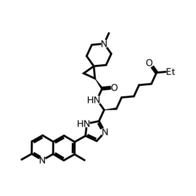 CCC(=O)CCCCC[C@H](NC(=O)[C@H]1CC12CCN(C)CC2)c1ncc(-c2cc3ccc(C)nc3cc2C)[nH]1